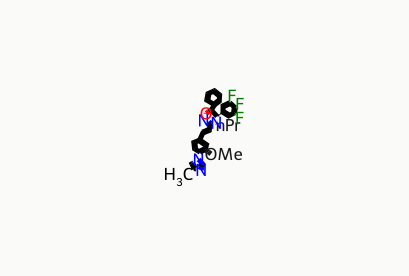 CCCN1C(/C=C/c2ccc(-n3cnc(C)c3)c(OC)c2)=NOC(c2ccccc2)[C@@H]1c1cc(F)c(F)c(F)c1